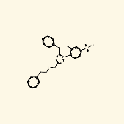 NS(=O)(=O)c1ccc(-n2nc(CNCCc3ccccc3)nc2Cc2ccccc2)c(F)c1